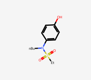 CCCCN(c1ccc(O)cc1)S(=O)(=O)CC